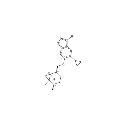 C[C@@H]1CC[C@H](COc2cc3nnc(Br)n3cc2C2CC2)[C@@H]2CC12C